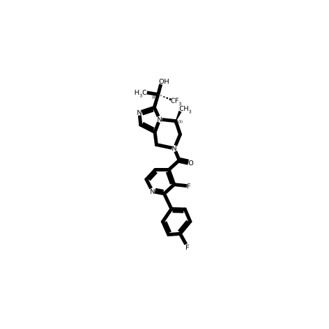 C[C@H]1CN(C(=O)c2ccnc(-c3ccc(F)cc3)c2F)Cc2cnc([C@@](C)(O)C(F)(F)F)n21